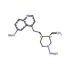 C=C[C@H]1CN(CCCCCCC)CC[C@H]1CCc1ccnc2ccc(OC)cc12